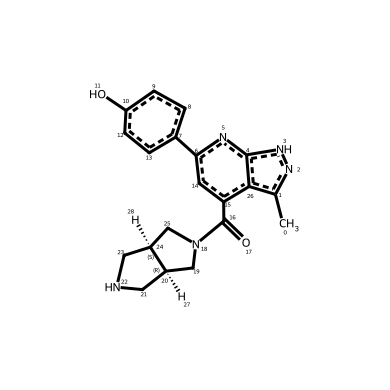 Cc1n[nH]c2nc(-c3ccc(O)cc3)cc(C(=O)N3C[C@H]4CNC[C@H]4C3)c12